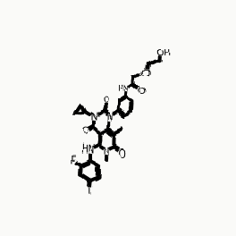 Cc1c(=O)n(C)c(Nc2ccc(I)cc2F)c2c(=O)n(C3CC3)c(=O)n(-c3cccc(NC(=O)COCCO)c3)c12